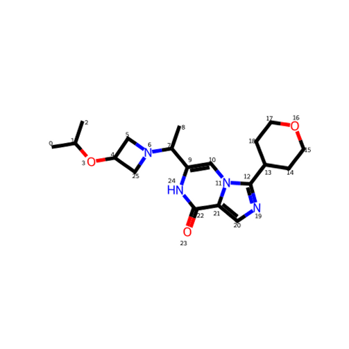 CC(C)OC1CN(C(C)c2cn3c(C4CCOCC4)ncc3c(=O)[nH]2)C1